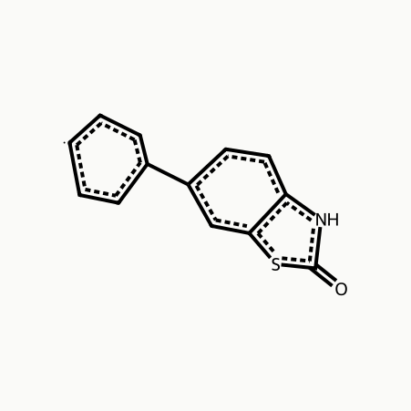 O=c1[nH]c2ccc(-c3cc[c]cc3)cc2s1